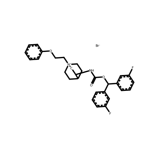 O=C(NC1C[N+]2(CCOc3ccccc3)CCC1CC2)OC(c1cccc(F)c1)c1cccc(F)c1.[Br-]